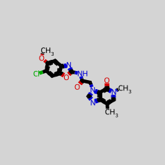 COc1cc2nc(NC(=O)Cn3cnc4c(C)cn(C)c(=O)c43)oc2cc1Cl